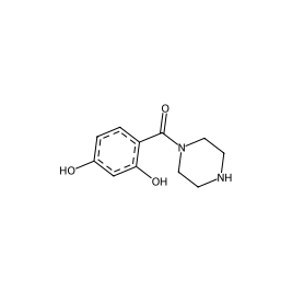 O=C(c1ccc(O)cc1O)N1CCNCC1